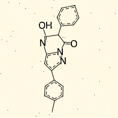 Cc1ccc(-c2cc3n(n2)C(=O)C(c2ccccc2)C(O)=N3)cc1